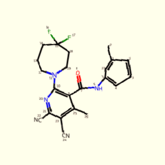 Cc1cccc(NC(=O)c2c(N3CCCC(F)(F)CC3)nc(C#N)c(C#N)c2C)c1